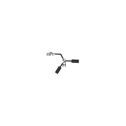 C#C[SiH](C#C)CCCC